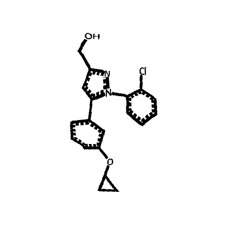 OCc1cc(-c2cccc(OC3CC3)c2)n(-c2ccccc2Cl)n1